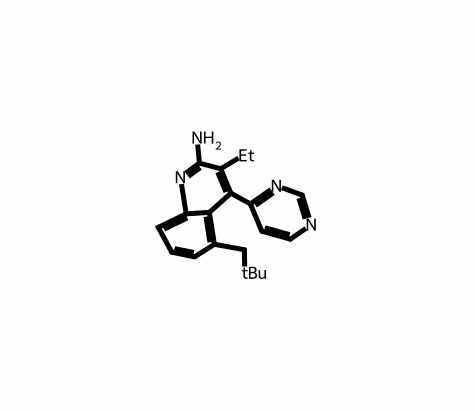 CCc1c(N)nc2cccc(CC(C)(C)C)c2c1-c1ccncn1